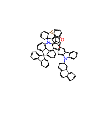 C1=CCC2(N(c3cccc4c3-c3ccccc3C43c4ccccc4-c4ccccc43)c3cccc4oc5ccccc5c34)C(=C1)Sc1ccc(-c3ccc4c(c3)c3ccccc3n4-c3ccc4ccc5ccccc5c4c3)cc12